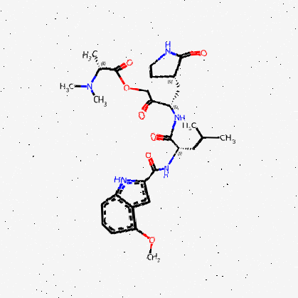 COc1cccc2[nH]c(C(=O)N[C@@H](CC(C)C)C(=O)N[C@@H](C[C@@H]3CCNC3=O)C(=O)COC(=O)[C@@H](C)N(C)C)cc12